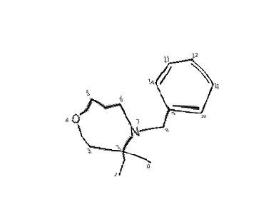 CC1(C)COCCN1Cc1ccccc1